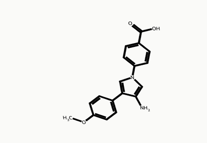 COc1ccc(-c2cn(-c3ccc(C(=O)O)cc3)cc2N)cc1